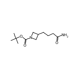 CC(C)(C)OC(=O)N1CC(CCCC(N)=O)C1